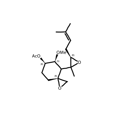 CO[C@H]1C(C2(C)O[C@@H]2CC=C(C)C)[C@]2(CC[C@H]1OC(C)=O)CO2